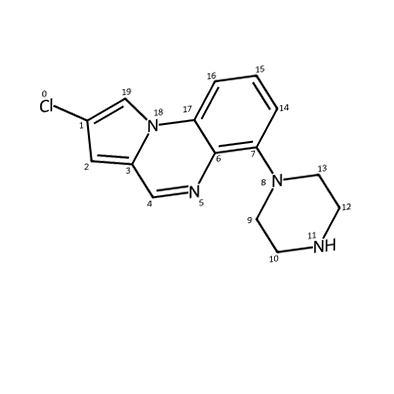 Clc1cc2cnc3c(N4CCNCC4)cccc3n2c1